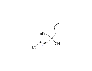 C=CCC(C#N)(/C=C/CC)CCC